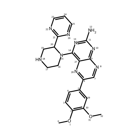 COc1ccc(-c2cnc3nc(N)nc(N4CCNCC4c4ncccn4)c3n2)cc1OC